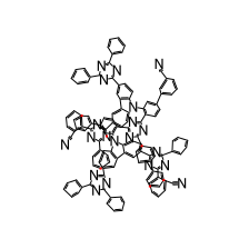 N#Cc1cccc(-c2ccc(-c3nc(-c4ccc(-c5cccc(C#N)c5)cc4-n4c5ccc(-c6nc(-c7ccccc7)nc(-c7ccccc7)n6)cc5c5cc(-c6nc(-c7ccccc7)nc(-c7ccccc7)n6)ccc54)nc(-c4ccc(-c5cccc(C#N)c5)cc4-n4c5ccc(-c6nc(-c7ccccc7)nc(-c7ccccc7)n6)cc5c5cc(-c6nc(-c7ccccc7)nc(-c7ccccc7)n6)ccc54)n3)cc2)c1